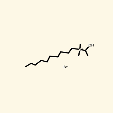 CCCCCCCCCC[N+](C)(C)C(C)O.[Br-]